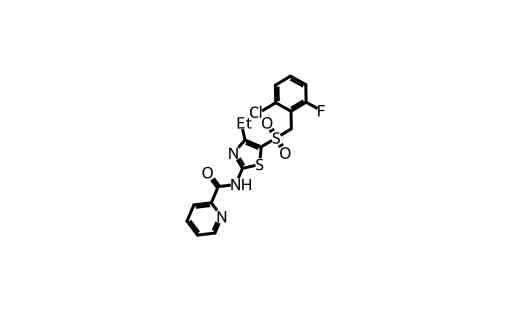 CCc1nc(NC(=O)c2ccccn2)sc1S(=O)(=O)Cc1c(F)cccc1Cl